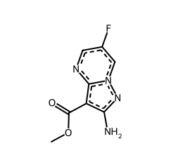 COC(=O)c1c(N)nn2cc(F)cnc12